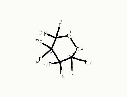 FC1(F)OOC(F)(F)C(F)(F)C1(F)F